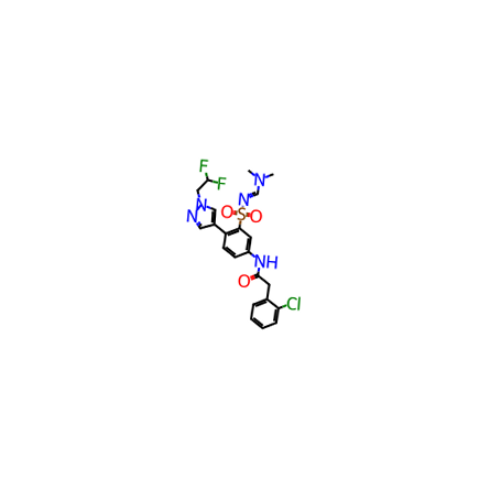 CN(C)C=NS(=O)(=O)c1cc(NC(=O)Cc2ccccc2Cl)ccc1-c1cnn(CC(F)F)c1